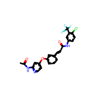 CC(=O)Nc1cc(Oc2cccc(C=CC(=O)Nc3ccc(Cl)c(C(F)(F)F)c3)c2)ccn1